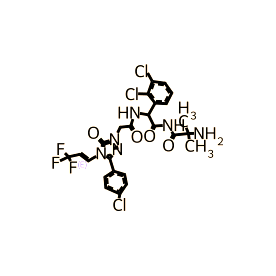 CC(C)(N)C(=O)NC(=O)C(NC(=O)Cn1nc(-c2ccc(Cl)cc2)n(/C=C/C(F)(F)F)c1=O)c1cccc(Cl)c1Cl